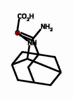 NC(=O)C12CC3CC(C1)C(NCC(=O)O)C(C3)C2